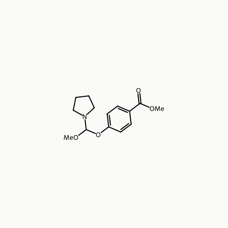 COC(=O)c1ccc(OC(OC)N2CCCC2)cc1